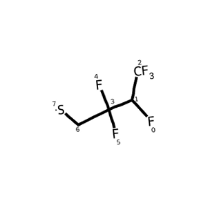 FC(C(F)(F)F)C(F)(F)C[S]